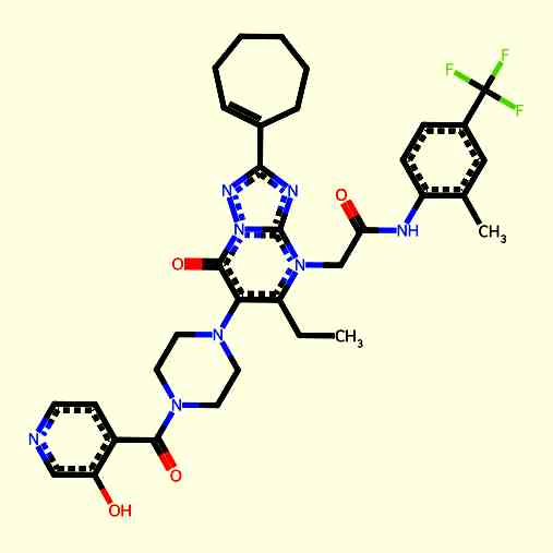 CCc1c(N2CCN(C(=O)c3ccncc3O)CC2)c(=O)n2nc(C3=CCCCCC3)nc2n1CC(=O)Nc1ccc(C(F)(F)F)cc1C